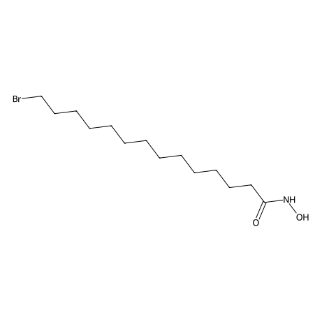 O=C(CCCCCCCCCCCCCBr)NO